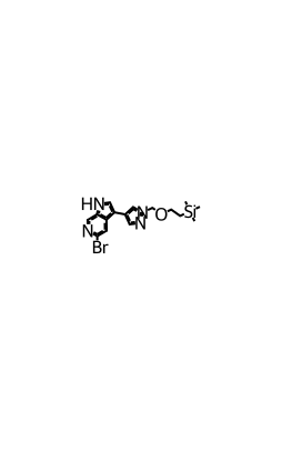 C[Si](C)(C)CCOCn1cc(-c2c[nH]c3cnc(Br)cc23)cn1